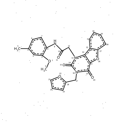 COc1cc(C)ccc1NC(=O)Cn1c(=O)n(Cc2ccco2)c(=O)c2oc3ccccc3c21